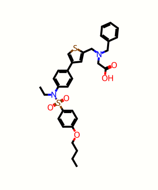 CCCCOc1ccc(S(=O)(=O)N(CC)c2ccc(-c3csc(CN(CC(=O)O)Cc4ccccc4)c3)cc2)cc1